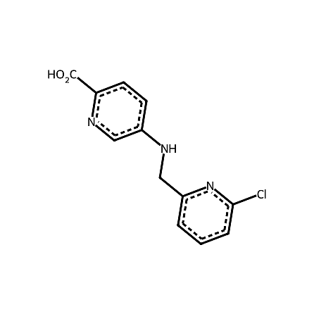 O=C(O)c1ccc(NCc2cccc(Cl)n2)cn1